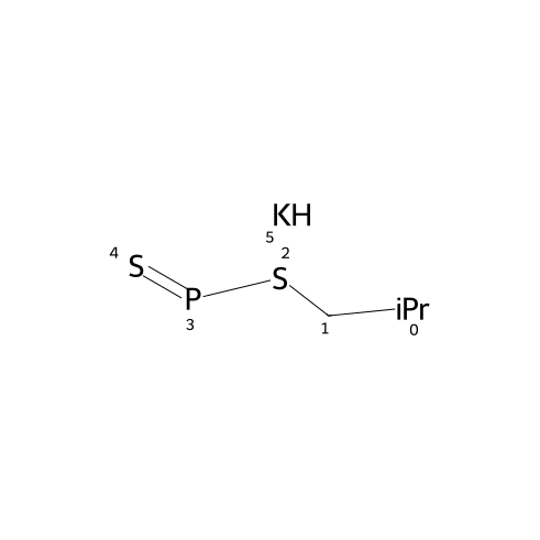 CC(C)CSP=S.[KH]